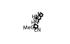 COc1cc(NCc2cc3cccnc3[nH]c2=O)ccc1C#N